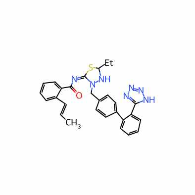 C/C=C/c1ccccc1C(=O)N=C1SC(CC)NN1Cc1ccc(-c2ccccc2-c2nnn[nH]2)cc1